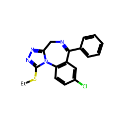 CCSc1nnc2n1-c1ccc(Cl)cc1C(c1ccccc1)=NC2